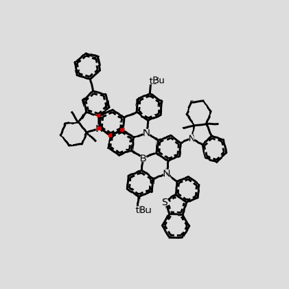 CC(C)(C)c1ccc(N2c3cc(N4c5ccc(-c6ccccc6)cc5C5(C)CCCCC45C)ccc3B3c4ccc(C(C)(C)C)cc4N(c4cccc5c4sc4ccccc45)c4cc(N5c6ccccc6C6(C)CCCCC56C)cc2c43)c(-c2ccccc2)c1